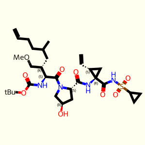 C=CCCC(C)C[C@@H](COC)[C@H](NC(=O)OC(C)(C)C)C(=O)N1C[C@H](O)C[C@H]1C(=O)N[C@]1(C(=O)NS(=O)(=O)C2CC2)C[C@H]1C=C